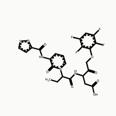 CCC(C(=O)NC(CC(=O)O)C(=O)COc1c(F)c(F)cc(F)c1F)n1cccc(NC(=O)c2ccsn2)c1=O